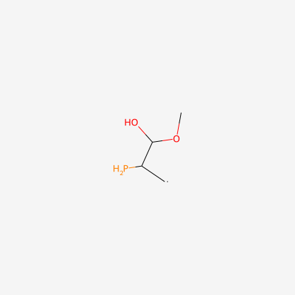 [CH2]C(P)C(O)OC